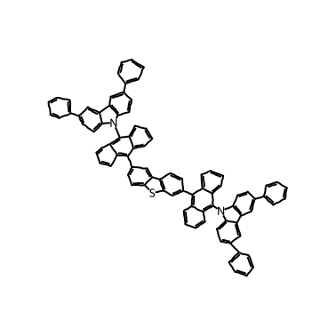 c1ccc(-c2ccc3c(c2)c2cc(-c4ccccc4)ccc2n3-c2c3ccccc3c(-c3ccc4c(c3)sc3ccc(-c5c6ccccc6c(-n6c7ccc(-c8ccccc8)cc7c7cc(-c8ccccc8)ccc76)c6ccccc56)cc34)c3ccccc23)cc1